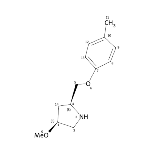 CO[C@@H]1CN[C@H](COc2ccc(C)cc2)C1